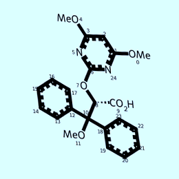 COc1cc(OC)nc(O[C@H](C(=O)O)C(OC)(c2ccccc2)c2ccccc2)n1